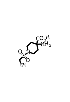 CC(C)CS(=O)(=O)N1CCC(N)(C(=O)O)CC1